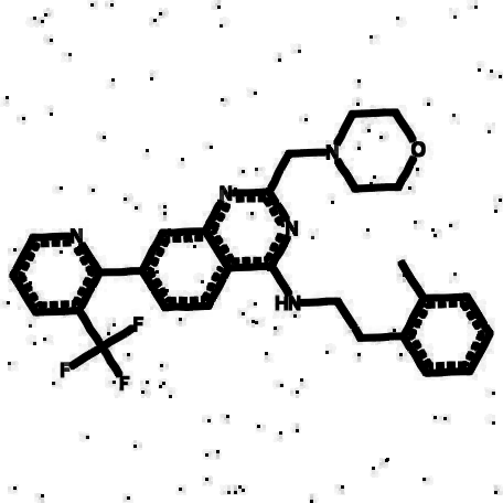 Cc1ccccc1CCNc1nc(CN2CCOCC2)nc2cc(-c3ncccc3C(F)(F)F)ccc12